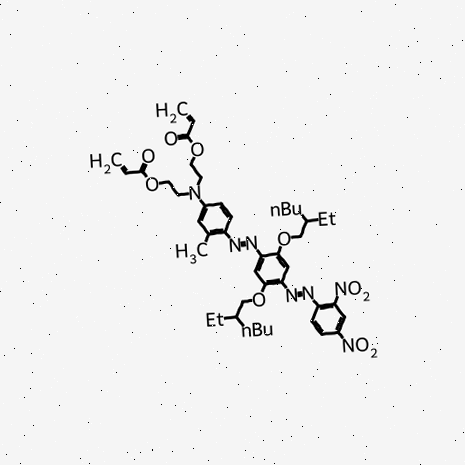 C=CC(=O)OCCN(CCOC(=O)C=C)c1ccc(/N=N/c2cc(OCC(CC)CCCC)c(/N=N/c3ccc([N+](=O)[O-])cc3[N+](=O)[O-])cc2OCC(CC)CCCC)c(C)c1